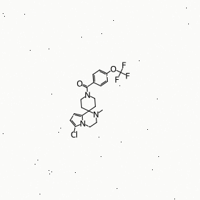 CN1CCn2c(Cl)ccc2C12CCN(C(=O)c1ccc(OC(F)(F)F)cc1)CC2